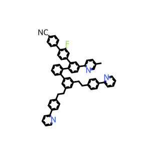 Cc1ccc(-c2ccc(-c3ccccc3-c3cc(CCc4ccc(-c5ccccn5)cc4)cc(CCc4ccc(-c5ccccn5)cc4)c3)c(-c3ccc(-c4ccc(C#N)cc4)c(F)c3)c2)nc1